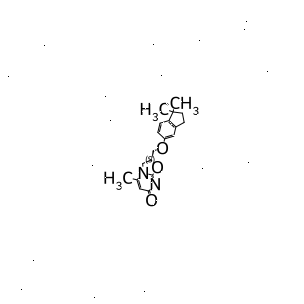 Cc1cc(=O)nc2n1C[C@@H](COc1ccc3c(c1)CCC3(C)C)O2